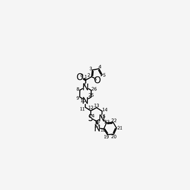 O=C(c1ccco1)N1CCN(CC2CCn3c(nc4ccccc43)S2)CC1